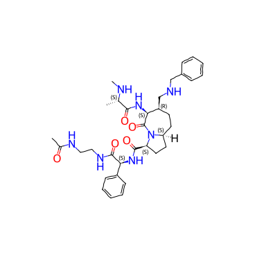 CN[C@@H](C)C(=O)N[C@@H]1C(=O)N2[C@@H](CC[C@@H]1CNCc1ccccc1)CC[C@H]2C(=O)N[C@H](C(=O)NCCNC(C)=O)c1ccccc1